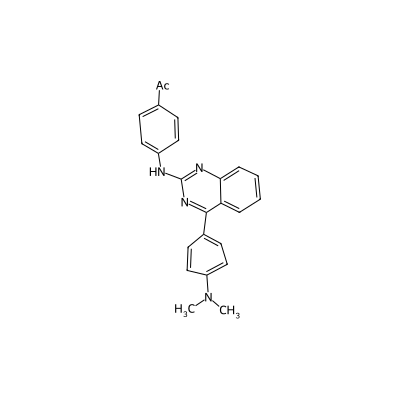 CC(=O)c1ccc(Nc2nc(-c3ccc(N(C)C)cc3)c3ccccc3n2)cc1